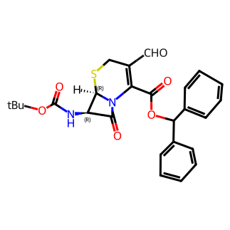 CC(C)(C)OC(=O)N[C@@H]1C(=O)N2C(C(=O)OC(c3ccccc3)c3ccccc3)=C(C=O)CS[C@H]12